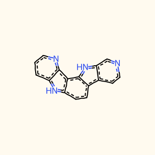 c1cnc2c(c1)[nH]c1ccc3c4ccncc4[nH]c3c12